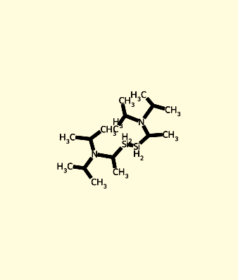 CC(C)N(C(C)C)C(C)[SiH2][SiH2]C(C)N(C(C)C)C(C)C